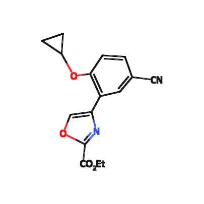 CCOC(=O)c1nc(-c2cc(C#N)ccc2OC2CC2)co1